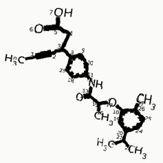 CC#CC(CC(=O)O)c1ccc(NC(=O)C(C)Oc2cc(C(C)C)ccc2C)cc1